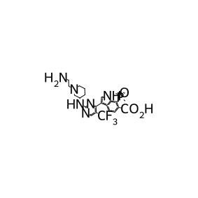 CP(C)(=O)c1c(C(=O)O)ccc2c(-c3nc(N[C@H]4CCCN(CCN)C4)ncc3C(F)(F)F)c[nH]c12